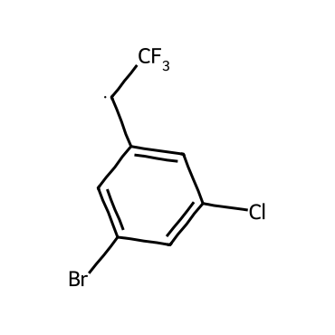 FC(F)(F)[CH]c1cc(Cl)cc(Br)c1